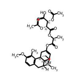 COc1ccc2c(c1C)[C@]13CCN(C)[C@H](C2)[C@]1(O)CC=C(OC(=O)[C@H](C)OC(=O)[C@H](OC(C)=O)[C@@H](OC(C)=O)C(=O)O)C3